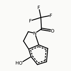 O=C(N1CCc2c(O)cccc21)C(F)(F)F